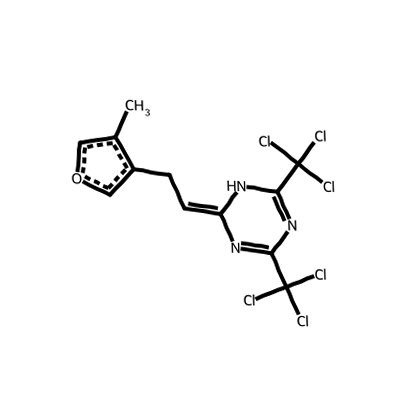 Cc1cocc1CC=C1N=C(C(Cl)(Cl)Cl)N=C(C(Cl)(Cl)Cl)N1